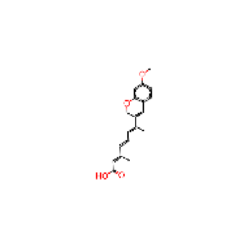 COc1ccc2c(c1)OCC(/C(C)=C/C=C/C(C)=C/C(=O)O)=C2